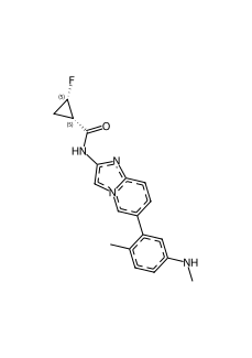 CNc1ccc(C)c(-c2ccc3nc(NC(=O)[C@@H]4C[C@@H]4F)cn3c2)c1